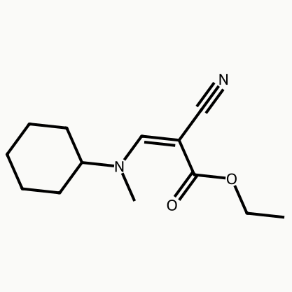 CCOC(=O)C(C#N)=CN(C)C1CCCCC1